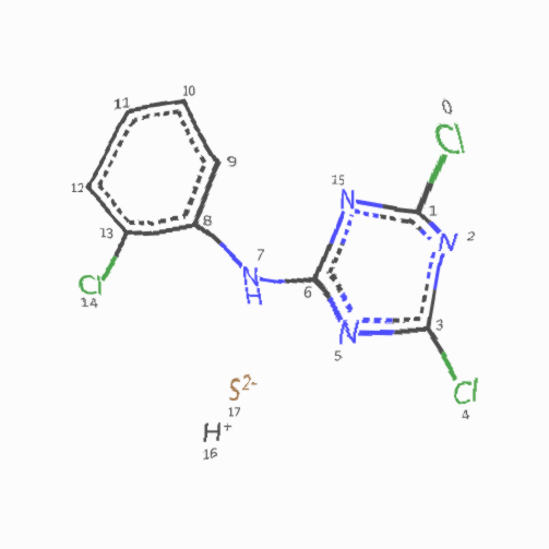 Clc1nc(Cl)nc(Nc2ccccc2Cl)n1.[H+].[S-2]